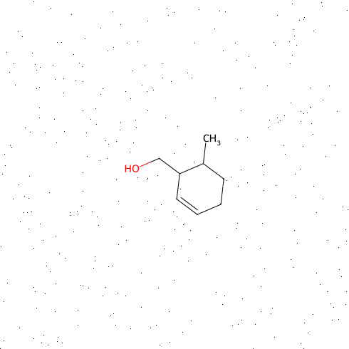 CC1CCC=CC1CO